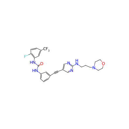 O=C(Nc1cccc(C#Cc2cnc(NCCCN3CCOCC3)nc2)c1)Nc1cc(C(F)(F)F)ccc1F